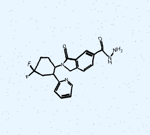 NNC(=O)c1ccc2c(c1)C(=O)N(C1CCC(F)(F)CC1c1ccccn1)C2